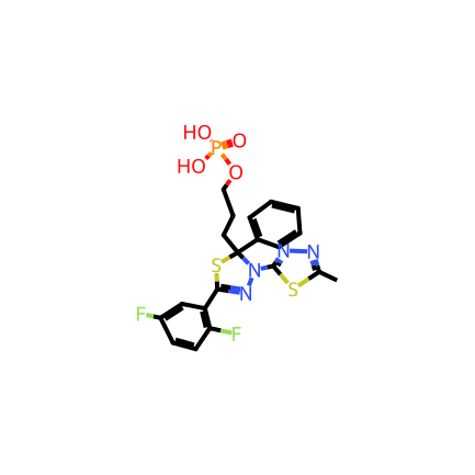 Cc1nnc(N2N=C(c3cc(F)ccc3F)SC2(CCCOP(=O)(O)O)c2ccccc2)s1